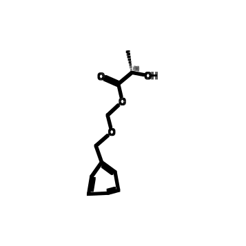 C[C@H](O)C(=O)OCOCc1ccccc1